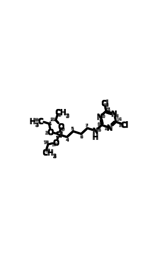 CCO[Si](CCCCNc1nc(Cl)nc(Cl)n1)(OCC)OCC